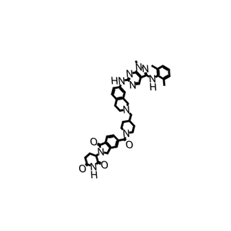 Cc1cccc(C)c1Nc1nn(C)c2nc(Nc3ccc4c(c3)CN(CC3CCN(C(=O)c5ccc6c(c5)CN(C5CCC(=O)NC5=O)C6=O)CC3)CC4)ncc12